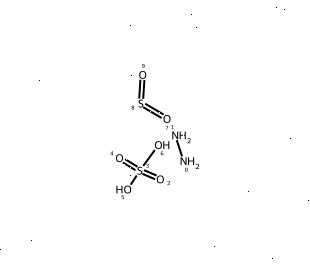 NN.O=S(=O)(O)O.O=S=O